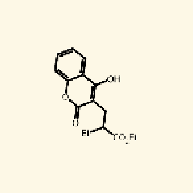 CCOC(=O)C(CC)Cc1c(O)c2ccccc2oc1=O